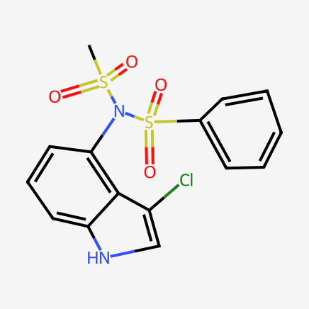 CS(=O)(=O)N(c1cccc2[nH]cc(Cl)c12)S(=O)(=O)c1ccccc1